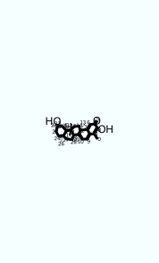 CC1=C(O)C(=O)C=C2C1=CC=C1[C@@]2(C)CC[C@@]2(C)[C@@H]3C[C@](C)(O)CC[C@]3(C)CC[C@]12C